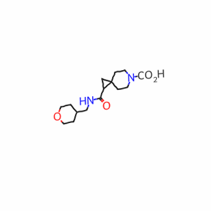 O=C(NCC1CCOCC1)C1CC12CCN(C(=O)O)CC2